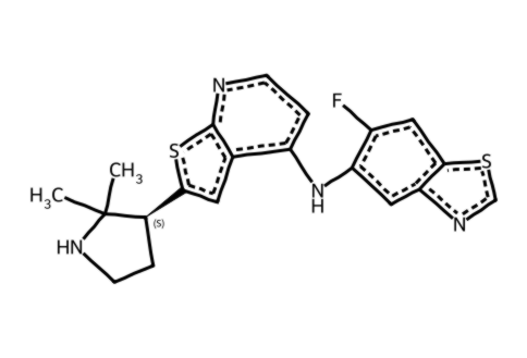 CC1(C)NCC[C@@H]1c1cc2c(Nc3cc4ncsc4cc3F)ccnc2s1